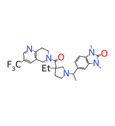 CCC1(C(=O)N2CCc3ncc(C(F)(F)F)cc3C2)CCN(C(C)c2ccc3c(c2)n(C)c(=O)n3C)C1